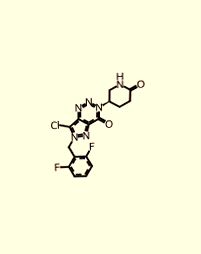 O=C1CC[C@@H](n2nnc3c(Cl)n(Cc4c(F)cccc4F)nc3c2=O)CN1